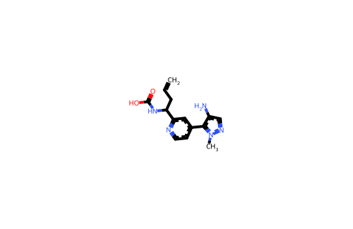 C=CCC(NC(=O)O)c1cc(-c2c(N)cnn2C)ccn1